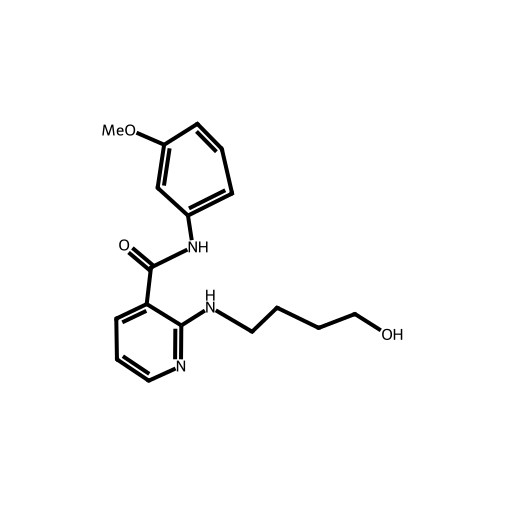 COc1cccc(NC(=O)c2cccnc2NCCCCO)c1